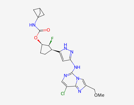 COCc1cn2c(Nc3cc([C@H]4CC[C@@H](OC(=O)NC56CC(C5)C6)[C@H]4F)[nH]n3)ncc(Cl)c2n1